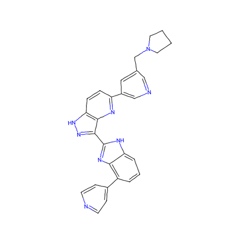 c1cc(-c2ccncc2)c2nc(-c3n[nH]c4ccc(-c5cncc(CN6CCCC6)c5)nc34)[nH]c2c1